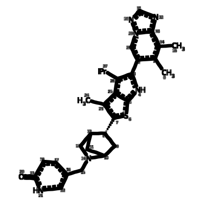 Cc1c(-c2[nH]c3sc([C@@H]4CC5CC4CN5Cc4ccc(=O)[nH]c4)c(C)c3c2C(C)C)cn2ncnc2c1C